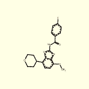 COc1ccc(C2CCOCC2)c2oc(NC(=O)c3ccc(F)cc3)nc12